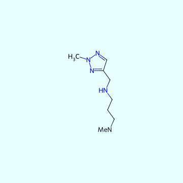 CNCCCNCc1cnn(C)n1